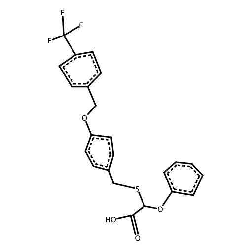 O=C(O)C(Oc1ccccc1)SCc1ccc(OCc2ccc(C(F)(F)F)cc2)cc1